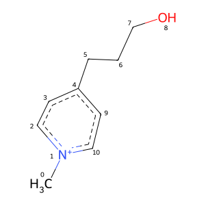 C[n+]1ccc(CCCO)cc1